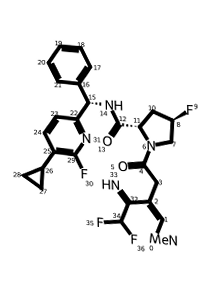 CN/C=C(/CC(=O)N1C[C@H](F)C[C@H]1C(=O)N[C@@H](c1ccccc1)c1ccc(C2CC2)c(F)n1)C(=N)C(F)F